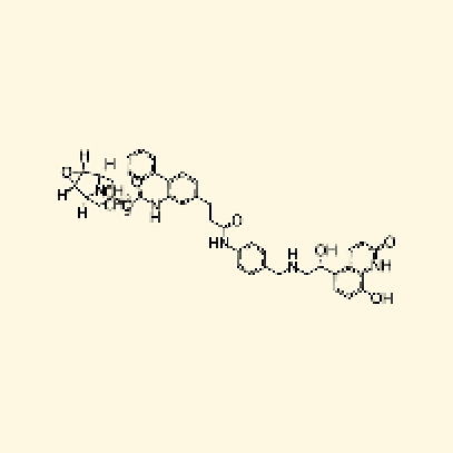 C[N+]1(C)[C@@H]2C[C@@H](OC(=O)Nc3cc(CCC(=O)Nc4ccc(CNC[C@H](O)c5ccc(O)c6[nH]c(=O)ccc56)cc4)ccc3-c3ccccc3)C[C@H]1[C@@H]1O[C@@H]12